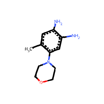 Cc1cc(N)c(N)cc1N1CCOCC1